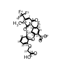 Cn1c(C(F)(F)F)cc(=O)n(-c2cc(Oc3c(F)cccc3OCC(=O)O)c([N+](=O)[O-])cc2F)c1=O